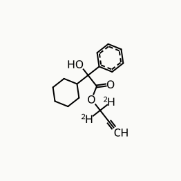 [2H]C([2H])(C#C)OC(=O)C(O)(c1ccccc1)C1CCCCC1